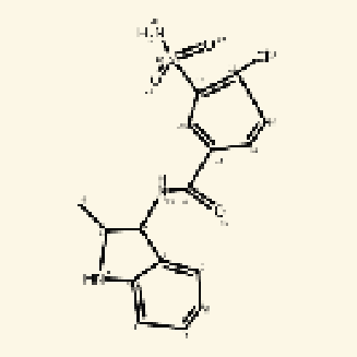 CC1Nc2ccccc2C1NC(=O)c1ccc(Cl)c(S(N)(=O)=O)c1